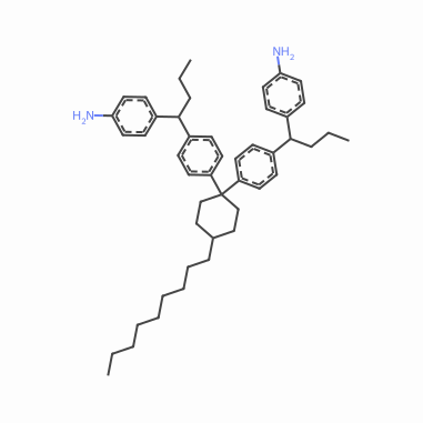 CCCCCCCCCC1CCC(c2ccc(C(CCC)c3ccc(N)cc3)cc2)(c2ccc(C(CCC)c3ccc(N)cc3)cc2)CC1